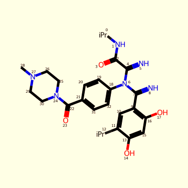 CC(C)NC(=O)C(=N)N(C(=N)c1cc(C(C)C)c(O)cc1O)c1ccc(C(=O)N2CCN(C)CC2)cc1